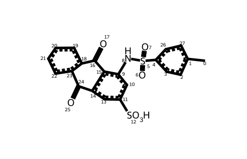 Cc1ccc(S(=O)(=O)Nc2cc(S(=O)(=O)O)cc3c2C(=O)c2ccccc2C3=O)cc1